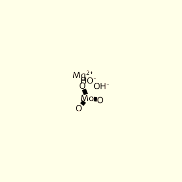 [Mg+2].[OH-].[OH-].[O]=[Mo](=[O])=[O]